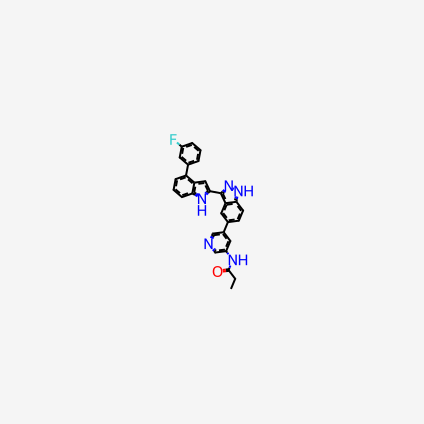 CCC(=O)Nc1cncc(-c2ccc3[nH]nc(-c4cc5c(-c6cccc(F)c6)cccc5[nH]4)c3c2)c1